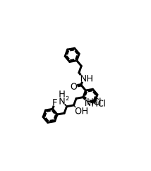 Cl.Cl.N[C@H](Cc1ccccc1F)[C@@H](O)Cc1ncccc1C(=O)NCCc1ccccc1